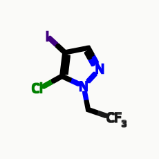 FC(F)(F)Cn1ncc(I)c1Cl